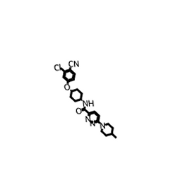 CC1CCN(c2ccc(C(=O)N[C@H]3CC[C@H](Oc4ccc(C#N)c(Cl)c4)CC3)nn2)CC1